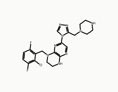 Fc1ccc(F)c(CN2CCNc3ncc(-n4cnnc4CN4CCNCC4)nc32)c1Cl